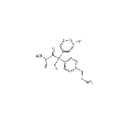 CCC(C(=O)C(=O)O)(c1ccccc1)c1ccc(CCN)cc1.Cl